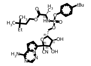 CCC(C)(C)CCOC(=O)[C@H](C)NP(=O)(OC[C@H]1O[C@@](C#N)(c2ccc3c(N)ncnn23)[C@H](O)[C@@H]1O)Oc1ccc(C(C)(C)C)cc1